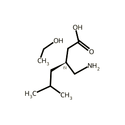 CC(C)C[C@H](CN)CC(=O)O.CCO